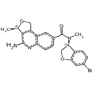 C[C@H]1OCc2c1c(N)nc1ccc(C(=O)N(C)[C@@H]3COc4cc(Br)ccc43)cc21